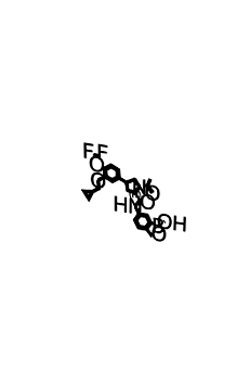 CC(=O)N1CC(c2ccc(OC(F)F)c(OCC3CC3)c2)C[C@@H]1C(=O)Nc1ccc2c(c1)B(O)OC2